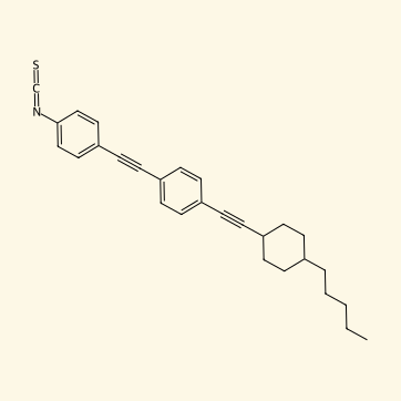 CCCCCC1CCC(C#Cc2ccc(C#Cc3ccc(N=C=S)cc3)cc2)CC1